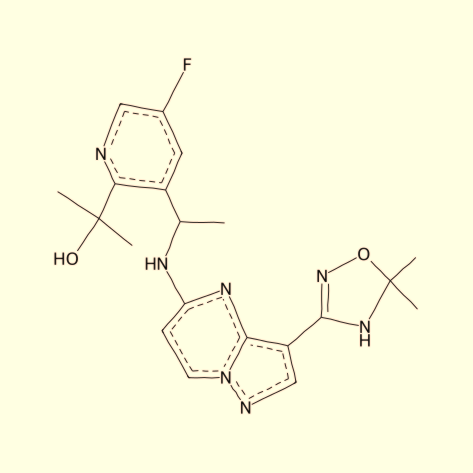 CC(Nc1ccn2ncc(C3=NOC(C)(C)N3)c2n1)c1cc(F)cnc1C(C)(C)O